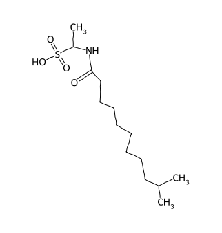 CC(C)CCCCCCCCC(=O)NC(C)S(=O)(=O)O